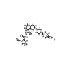 CN1CCN(c2ccc(-c3ccc4nccc(C(=O)NCC(=O)N5CC(F)(F)CC5C#N)c4c3)cc2)CC1